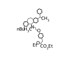 CCCCc1ccc2c(c1)C(N(C)CCOc1ccc(CC(OCC)C(=O)OCC)cc1)c1ccc(C(C)c3ccccc3)cc1CC2